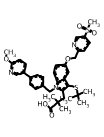 COc1ccc(-c2ccc(Cn3c(CC(C)(C)C(=O)O)c(SC(C)(C)C)c4cc(OCc5ccc(S(C)(=O)=O)cn5)ccc43)cc2)cn1